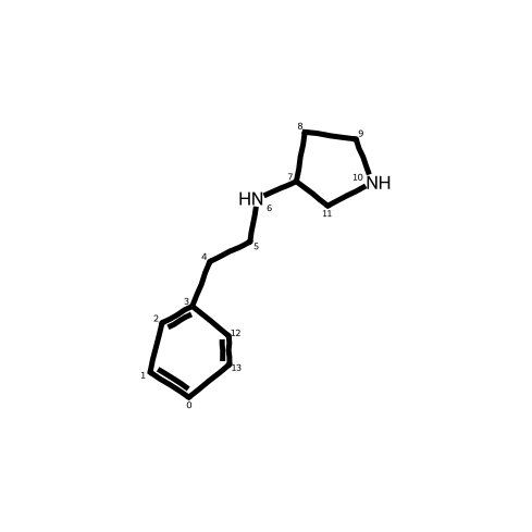 c1ccc(CCNC2CCNC2)cc1